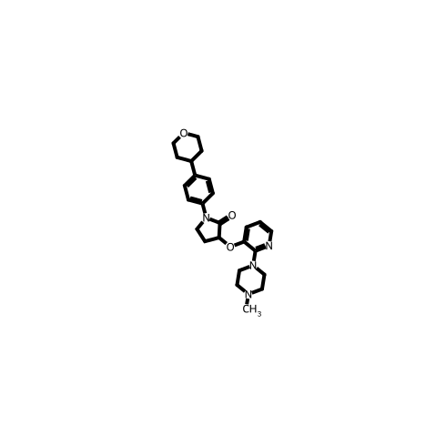 CN1CCN(c2ncccc2OC2CCN(c3ccc(C4CCOCC4)cc3)C2=O)CC1